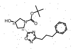 CC(C)(C)OC(=O)N1C[C@H](O)C[C@H]1c1nc(CCCc2ccccc2)no1